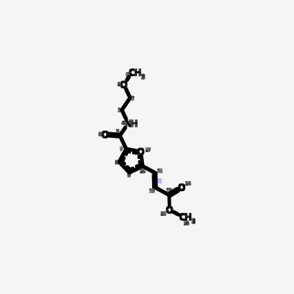 COCCNC(=O)c1ccc(/C=C/C(=O)OC)o1